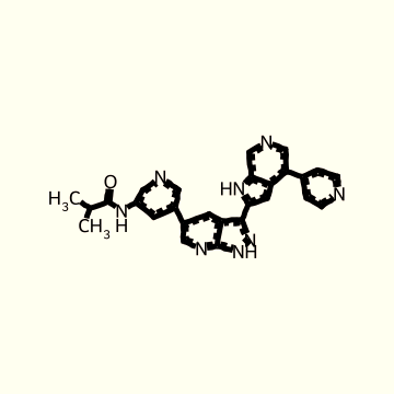 CC(C)C(=O)Nc1cncc(-c2cnc3[nH]nc(-c4cc5c(-c6ccncc6)cncc5[nH]4)c3c2)c1